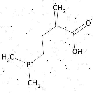 C=C(CCP(C)C)C(=O)O